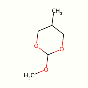 COC1OCC(C)CO1